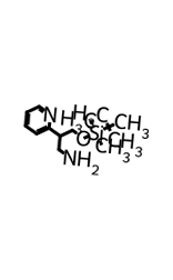 CC(C)(C)[Si](C)(C)OCC(CN)c1ccccn1